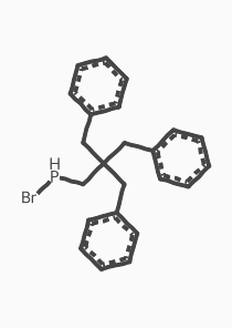 BrPCC(Cc1ccccc1)(Cc1ccccc1)Cc1ccccc1